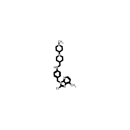 CCc1nc2c(C)ccnc2n1Cc1ccc(NCC2CCN(C3CCN(C)CC3)CC2)cc1